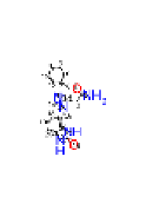 NC(=O)Cc1c(Cc2ccccc2)ncn1Cc1cccc2[nH]c(=O)[nH]c12